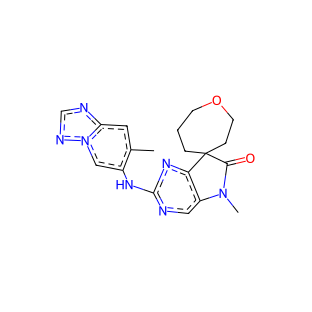 Cc1cc2ncnn2cc1Nc1ncc2c(n1)C1(CCCOCC1)C(=O)N2C